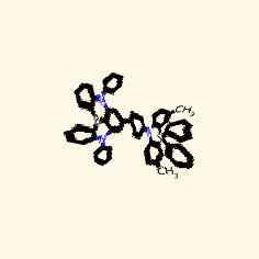 Cc1ccc2c(c1)[Si](c1ccccc1)(c1ccccc1)c1cc(C)ccc1N2c1ccc(-c2cc3c4c(c2)N(c2ccccc2)c2ccccc2B4c2ccccc2N3c2ccccc2)cc1